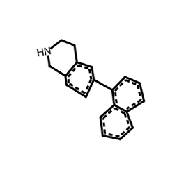 c1ccc2c(-c3ccc4c(c3)CCNC4)cccc2c1